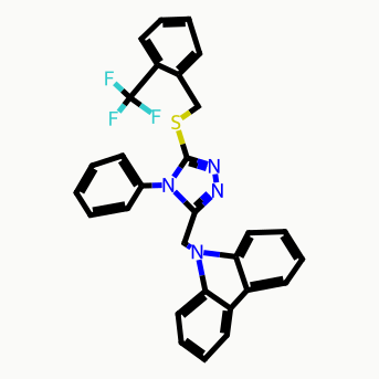 FC(F)(F)c1ccccc1CSc1nnc(Cn2c3ccccc3c3ccccc32)n1-c1ccccc1